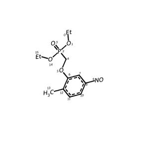 CCOP(=O)(COc1cc(N=O)ccc1C)OCC